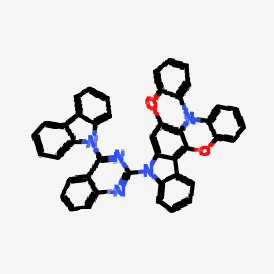 c1ccc2c(c1)Oc1cc3c(c4c1N2c1ccccc1O4)c1ccccc1n3-c1nc(-n2c3ccccc3c3ccccc32)c2ccccc2n1